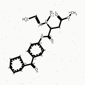 CC=NN(C)C(CC(=O)OC)C(=O)Oc1ccc(C(=O)c2ccccc2)cc1